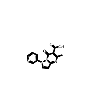 Cc1nc2ccn(-c3cccnc3)n2c(=O)c1C(=O)O